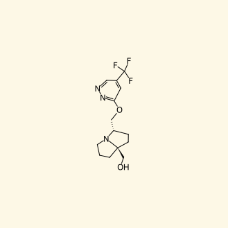 OC[C@@]12CCCN1[C@H](COc1cc(C(F)(F)F)cnn1)CC2